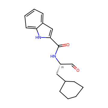 O=C[C@H](CC1CCCCC1)NC(=O)c1cc2ccccc2[nH]1